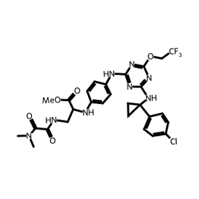 COC(=O)C(CNC(=O)C(=O)N(C)C)Nc1ccc(Nc2nc(NC3(c4ccc(Cl)cc4)CC3)nc(OCC(F)(F)F)n2)cc1